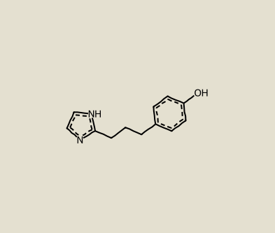 Oc1ccc(CCCc2ncc[nH]2)cc1